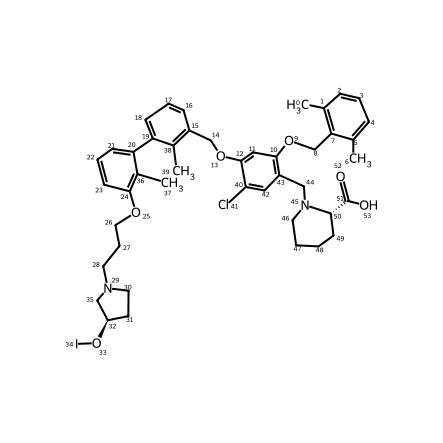 Cc1cccc(C)c1COc1cc(OCc2cccc(-c3cccc(OCCCN4CC[C@@H](OI)C4)c3C)c2C)c(Cl)cc1CN1CCCC[C@H]1C(=O)O